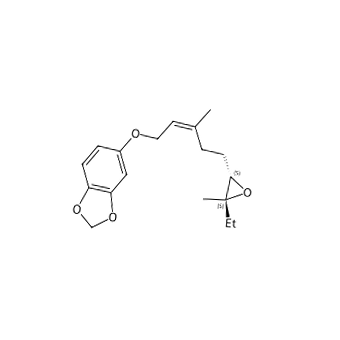 CC[C@]1(C)O[C@H]1CCC(C)=CCOc1ccc2c(c1)OCO2